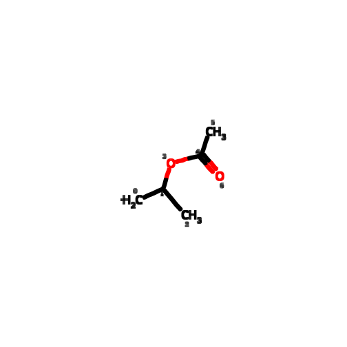 [CH2]C(C)OC(C)=O